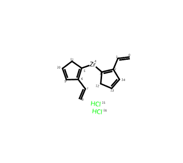 C=CC1=[C]([Zr][C]2=C(C=C)C=CC2)CC=C1.Cl.Cl